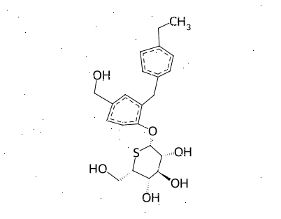 CCc1ccc(Cc2cc(CO)ccc2O[C@H]2S[C@@H](CO)[C@@H](O)[C@H](O)[C@H]2O)cc1